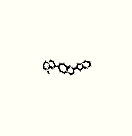 CN1CCCN2CCC(C3CCC4=NC(C5CC6=NCCCN6C5)CCN4CC3)N=C12